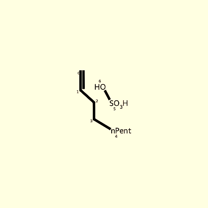 C=CCCCCCCC.O=S(=O)(O)O